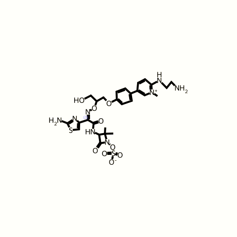 C[n+]1cc(-c2ccc(OCC(CO)O/N=C(\C(=O)NC3C(=O)N(OS(=O)(=O)[O-])C3(C)C)c3csc(N)n3)cc2)ccc1NCCN